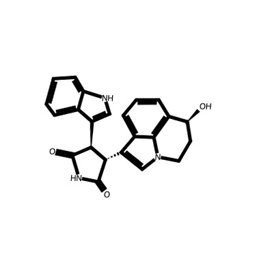 O=C1NC(=O)[C@@H](c2cn3c4c(cccc24)[C@@H](O)CC3)[C@@H]1c1c[nH]c2ccccc12